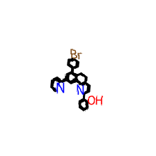 Oc1ccccc1-c1ccc2c(n1)-c1cc(-c3ccccn3)cc(-c3ccc(Br)cc3)c1CC2